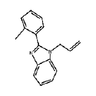 C=CCn1c(-c2ccccc2C)nc2ccccc21